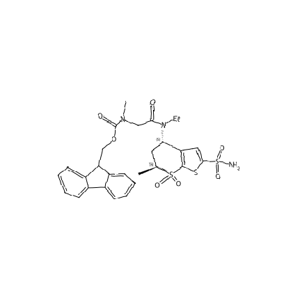 CCN(C(=O)CN(C)C(=O)OCC1c2ccccc2-c2ccccc21)[C@H]1C[C@H](C)S(=O)(=O)c2sc(S(N)(=O)=O)cc21